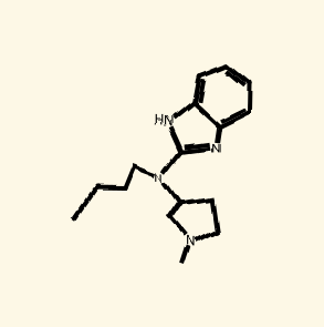 CCCCN(c1nc2ccccc2[nH]1)C1CCN(C)C1